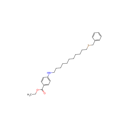 CCOC(=O)c1ccc(NCCCCCCCCCCCSCc2ccccc2)cc1